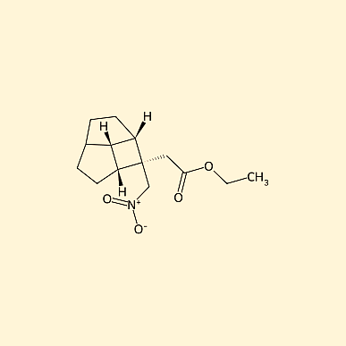 CCOC(=O)C[C@]1(C[N+](=O)[O-])[C@@H]2CCC3CC[C@H]1[C@@H]32